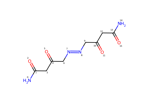 NC(=O)CC(=O)CN=NCC(=O)CC(N)=O